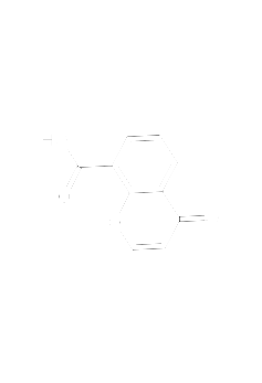 O=C(O)c1cccc2c(=O)ccoc12